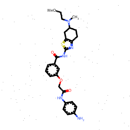 COCCN(C)C1CCc2nc(NC(=O)c3cccc(OCC(=O)Nc4ccc(N)cc4)c3)sc2C1